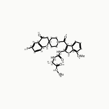 COc1cccc2c(C(=O)N3CCC4(CC3)CC(=O)c3cc(F)ccc3O4)c(NC(=O)N[C@@H](C)C(=O)OC(C)(C)C)sc12